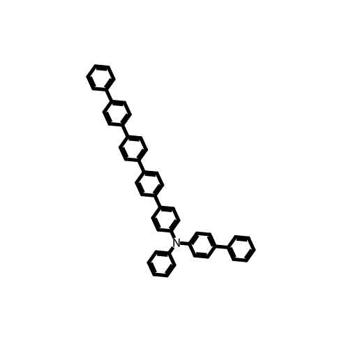 c1ccc(-c2ccc(-c3ccc(-c4ccc(-c5ccc(N(c6ccccc6)c6ccc(-c7ccccc7)cc6)cc5)cc4)cc3)cc2)cc1